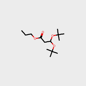 CCCOC(=O)CC(OC(C)(C)C)OC(C)(C)C